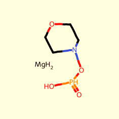 O=[PH](O)ON1CCOCC1.[MgH2]